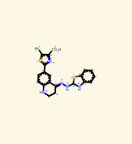 CC(C)c1sc(-c2ccc3c(c2)/C(=N/NC2Nc4ccccc4S2)CCN3)nc1C(=O)O